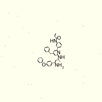 C=CC(=O)Nc1cccc(-c2cc(Cc3ccccc3)cc(NC(C)/C=C(\N)c3ccc(OC4=CCCC=C4)cc3)n2)c1